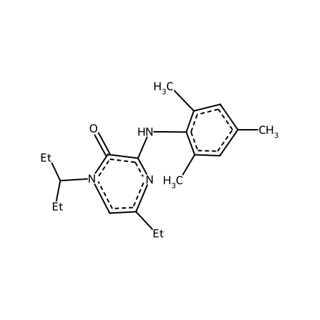 CCc1cn(C(CC)CC)c(=O)c(Nc2c(C)cc(C)cc2C)n1